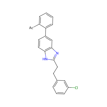 CC(=O)c1ccccc1-c1ccc2[nH]c(CCc3cccc(Cl)c3)nc2c1